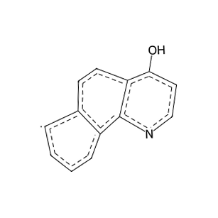 Oc1ccnc2c1ccc1[c]cccc12